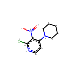 O=[N+]([O-])c1c(N2CCCCC2)ccnc1Cl